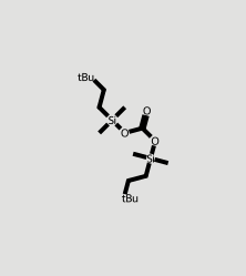 CC(C)(C)CC[Si](C)(C)OC(=O)O[Si](C)(C)CCC(C)(C)C